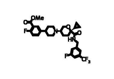 COC(=O)c1cc(C2CCN([C@@H]3CC[C@@](C(=O)NCc4cc(F)cc(C(F)(F)F)c4)(C4CC4)OC3)CC2)ccc1F